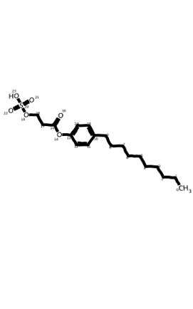 CCCCCCCCCCc1ccc(OC(=O)CCOS(=O)(=O)O)cc1